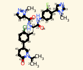 CC(C)n1cc(-c2ccc(Cl)c(C[C@H](NC(=O)c3ccnn3C)C(=O)Nc3ccc(-c4cncn4C)c(F)c3)c2)ccc1=O